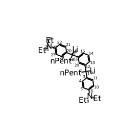 [Li][C](CCCCC)(c1ccc(N(CC)CC)cc1)c1cccc([C]([Li])(CCCCC)c2ccc(N(CC)CC)cc2)c1